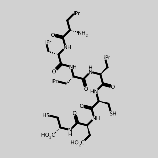 CC(C)C[C@H](NC(=O)[C@H](CC(C)C)NC(=O)[C@H](CC(C)C)NC(=O)[C@@H](N)CC(C)C)C(=O)N[C@@H](CS)C(=O)N[C@@H](CC(=O)O)C(=O)N[C@@H](CS)C(=O)O